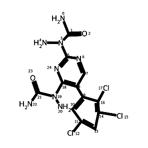 NC(=O)N(N)c1ncc(-c2cc(Cl)cc(Cl)c2Cl)c(N(N)C(N)=O)n1